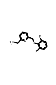 NCc1cccc(COc2c(F)cccc2F)n1